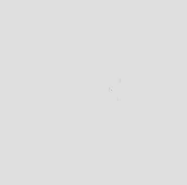 CN(C)C(=O)/C=C/C(=O)O